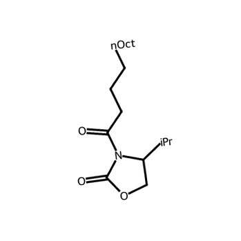 CCCCCCCCCCCC(=O)N1C(=O)OCC1C(C)C